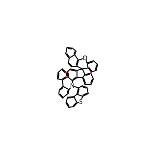 c1ccc(-c2ccccc2N(c2cccc3c2-c2ccccc2C32c3ccccc3Oc3c2ccc2ccccc32)c2cccc3sc4ccccc4c23)cc1